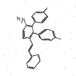 Cc1ccc(-c2c(N)ccc(C=Cc3ccccc3)c2-c2ccc(C)cc2)cc1